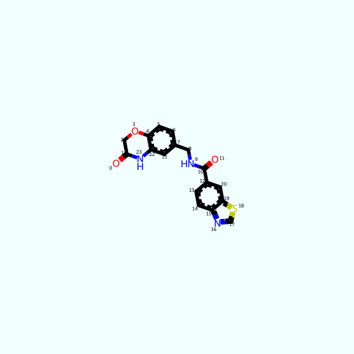 O=C1COc2ccc(CNC(=O)c3ccc4ncsc4c3)cc2N1